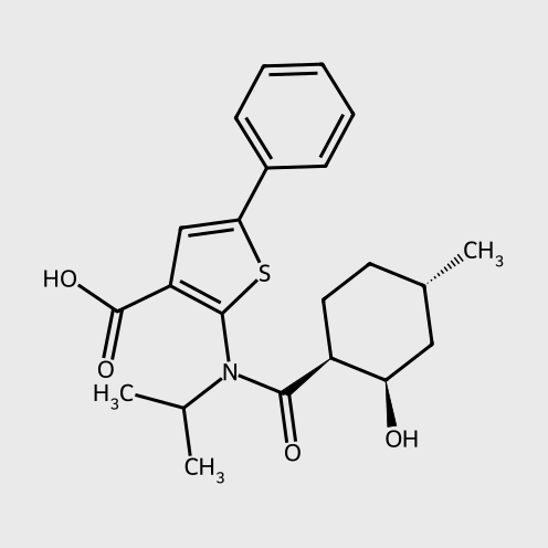 CC(C)N(C(=O)[C@H]1CC[C@H](C)C[C@H]1O)c1sc(-c2ccccc2)cc1C(=O)O